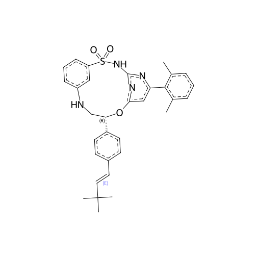 Cc1cccc(C)c1-c1cc2nc(n1)NS(=O)(=O)c1cccc(c1)NC[C@@H](c1ccc(/C=C/C(C)(C)C)cc1)O2